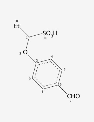 CCC(Oc1ccc(C=O)cc1)S(=O)(=O)O